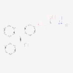 CCC(=C(c1ccccc1)c1ccc(OCC(O)CNC(C)C)cc1)c1ccccc1